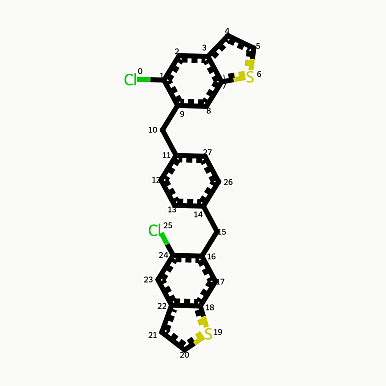 Clc1cc2ccsc2cc1Cc1ccc(Cc2cc3sccc3cc2Cl)cc1